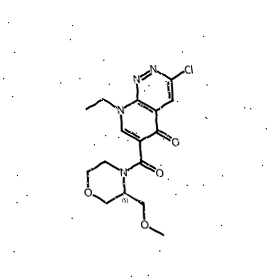 CCn1cc(C(=O)N2CCOC[C@@H]2COC)c(=O)c2cc(Cl)nnc21